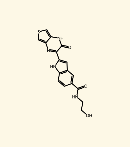 O=C(NCCO)c1ccc2[nH]c(-c3nc4cscc4[nH]c3=O)cc2c1